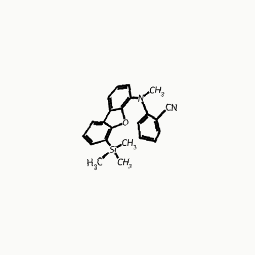 CN(c1ccccc1C#N)c1cccc2c1oc1c([Si](C)(C)C)cccc12